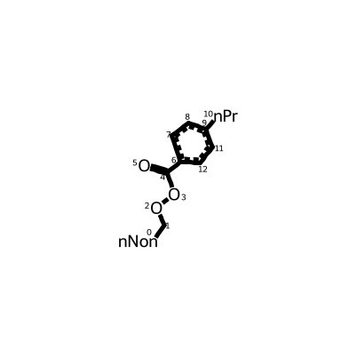 [CH2]CCCCCCCCCOOC(=O)c1ccc(CCC)cc1